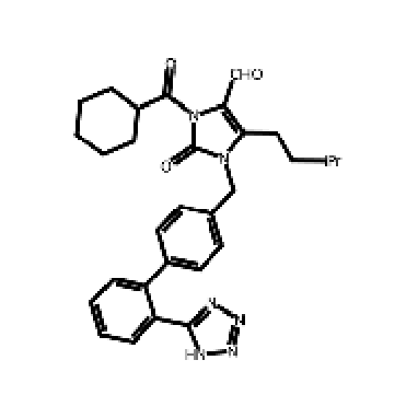 CC(C)CCc1c(C=O)n(C(=O)C2CCCCC2)c(=O)n1Cc1ccc(-c2ccccc2-c2nnn[nH]2)cc1